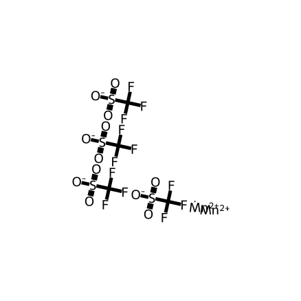 O=S(=O)([O-])C(F)(F)F.O=S(=O)([O-])C(F)(F)F.O=S(=O)([O-])C(F)(F)F.O=S(=O)([O-])C(F)(F)F.[Mn+2].[Mn+2]